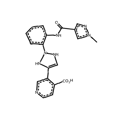 Cn1cc(C(=O)Nc2ccccc2N2NC=C(c3cnccc3C(=O)O)N2)cn1